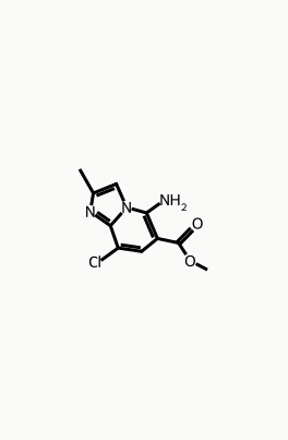 COC(=O)c1cc(Cl)c2nc(C)cn2c1N